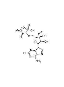 C=C[C@@]1(O)[C@@H](COC(C(=O)OC)P(=O)(O)O)O[C@@H](n2cnc3c(N)nc(Cl)nc32)[C@@H]1O